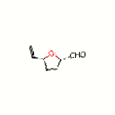 C=C[C@@H]1CC[C@@H](C=O)O1